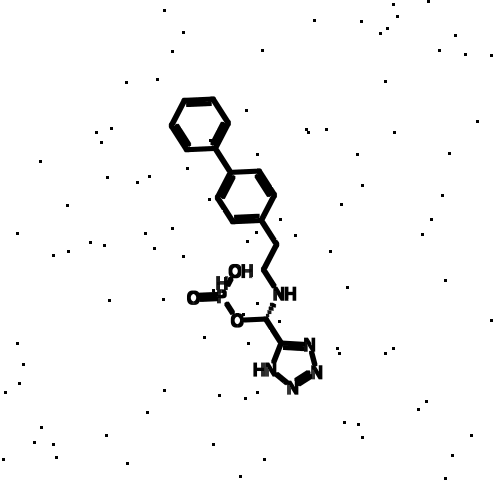 O=[PH](O)O[C@H](NCCc1ccc(-c2ccccc2)cc1)c1nnn[nH]1